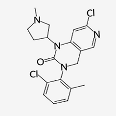 Cc1cccc(Cl)c1N1Cc2cnc(Cl)cc2N(C2CCN(C)C2)C1=O